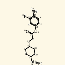 CCCCCCC[C@H]1CC[C@H](CCC(=O)Oc2ccc(CCC)c(F)c2)CC1